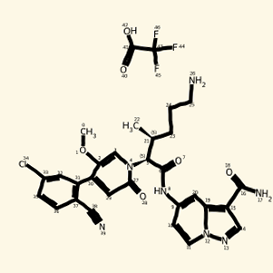 COc1cn([C@H](C(=O)Nc2ccn3ncc(C(N)=O)c3c2)[C@@H](C)CCCN)c(=O)cc1-c1cc(Cl)ccc1C#N.O=C(O)C(F)(F)F